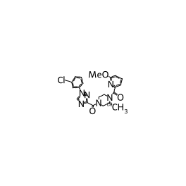 COc1cccc(C(=O)N2CCN(C(=O)c3ncn(-c4cccc(Cl)c4)n3)C[C@@H]2C)n1